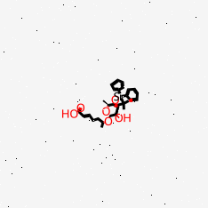 CC(CCC=CC(=O)O)O[C@@H]1O[C@@H](C)[C@H](O[Si](c2ccccc2)(c2ccccc2)C(C)(C)C)C[C@H]1O